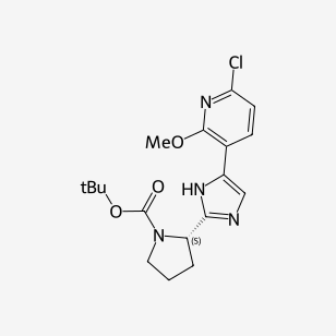 COc1nc(Cl)ccc1-c1cnc([C@@H]2CCCN2C(=O)OC(C)(C)C)[nH]1